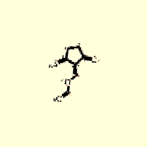 O=CO/C=C1/C(=O)CCC1=S